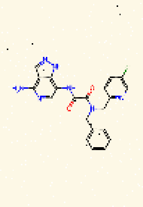 Nc1ncc(NC(=O)C(=O)N(Cc2ccccc2)Cc2ccc(Cl)cn2)c2[nH]ncc12